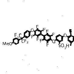 C#Cc1ccc(C)cc1Oc1ccc(Oc2c(F)c(F)c(-c3c(F)c(F)c(Oc4ccc(C(c5ccc(OC)cc5)(C(F)(F)F)C(F)(F)F)cc4)c(F)c3F)c(F)c2F)c(S(=O)(=O)O)c1